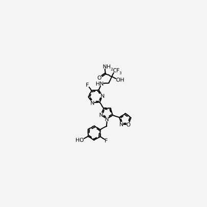 NC(=O)C(O)(CNc1nc(-c2cc(-c3ccon3)n(Cc3ccc(O)cc3F)n2)ncc1F)C(F)(F)F